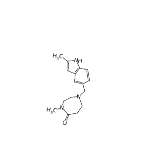 Cc1cc2cc(CN3CCC(=O)N(C)CC3)ccc2[nH]1